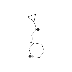 C1CNC[C@H](CNC2CC2)C1